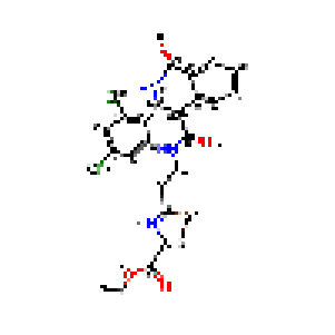 CCOC(=O)c1csc(CCNC(=O)[C@@H]2c3ccccc3C(=O)N[C@H]2c2ccc(Cl)cc2Cl)n1